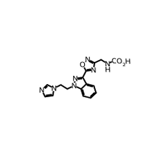 O=C(O)NCc1noc(-c2nn(CCn3ccnc3)c3ccccc23)n1